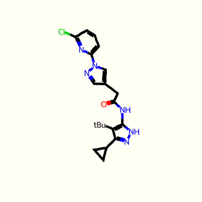 CC(C)(C)c1c(C2CC2)n[nH]c1NC(=O)Cc1cnn(-c2cccc(Cl)n2)c1